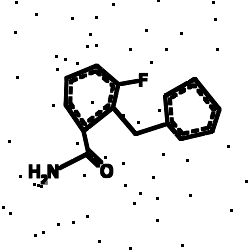 NC(=O)c1cccc(F)c1Cc1ccccc1